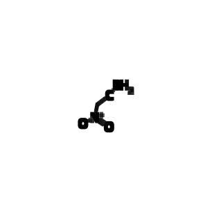 BCC[N+](=O)[O-]